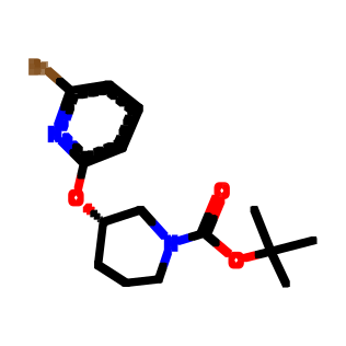 CC(C)(C)OC(=O)N1CCC[C@H](Oc2cccc(Br)n2)C1